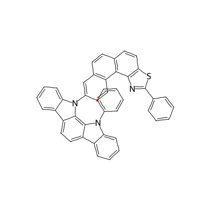 c1ccc(-c2nc3c(ccc4ccc5cc(-n6c7ccccc7c7ccc8c9ccccc9n(-c9ccccc9)c8c76)ccc5c43)s2)cc1